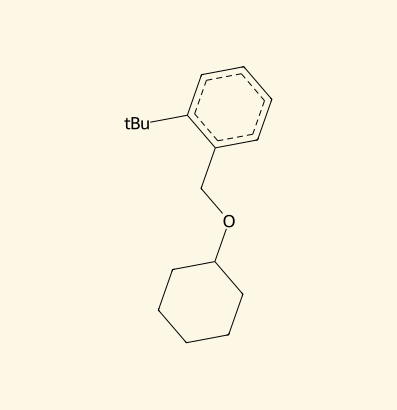 CC(C)(C)c1ccccc1COC1CCCCC1